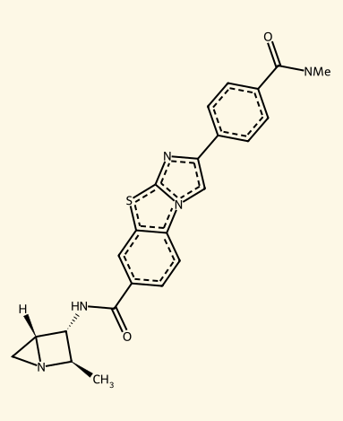 CNC(=O)c1ccc(-c2cn3c(n2)sc2cc(C(=O)N[C@@H]4[C@@H](C)N5C[C@H]45)ccc23)cc1